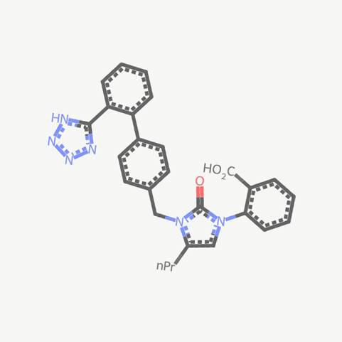 CCCc1cn(-c2ccccc2C(=O)O)c(=O)n1Cc1ccc(-c2ccccc2-c2nnn[nH]2)cc1